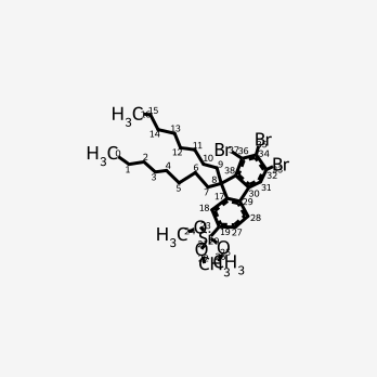 CCCCCCCCC1(CCCCCCCC)c2cc([Si](OC)(OC)OC)ccc2-c2cc(Br)c(Br)c(Br)c21